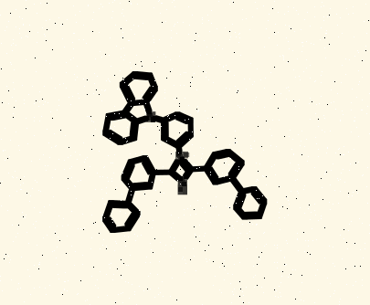 c1ccc(-c2cccc(C3=[N+](c4cccc(-n5c6ccccc6c6ccccc65)c4)C(c4cccc(-c5ccccc5)c4)N3)c2)cc1